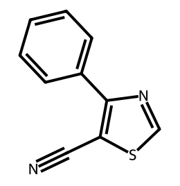 N#Cc1scnc1-c1ccccc1